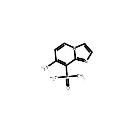 CP(C)(=O)c1c(N)ccn2ccnc12